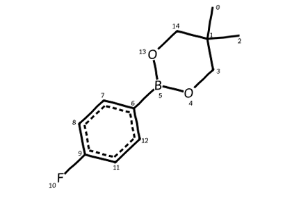 CC1(C)COB(c2ccc(F)cc2)OC1